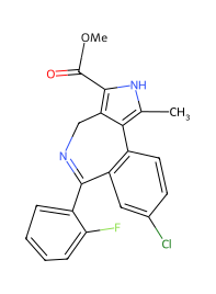 COC(=O)c1[nH]c(C)c2c1CN=C(c1ccccc1F)c1cc(Cl)ccc1-2